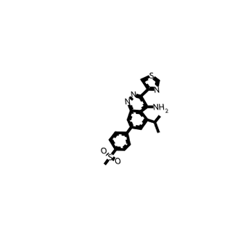 CC(C)c1cc(-c2ccc(S(C)(=O)=O)cc2)cc2nnc(-c3cscn3)c(N)c12